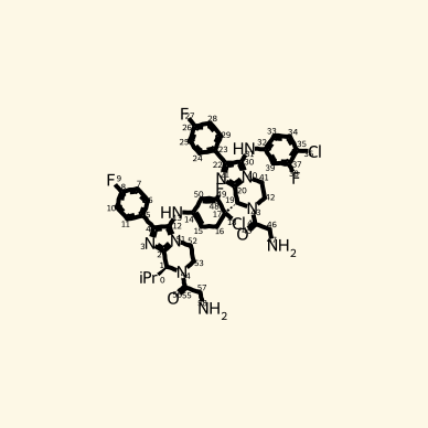 CC(C)[C@H]1c2nc(-c3ccc(F)cc3)c(NC3=CCC(Cl)([C@@H]4c5nc(-c6ccc(F)cc6)c(Nc6ccc(Cl)c(F)c6)n5CCN4C(=O)CN)C(F)=C3)n2CCN1C(=O)CN